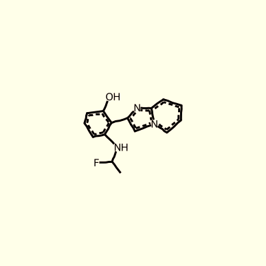 CC(F)Nc1cccc(O)c1-c1cn2ccccc2n1